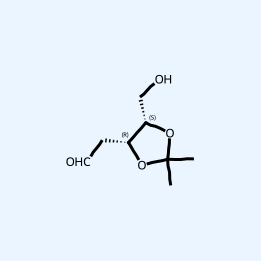 CC1(C)O[C@@H](CO)[C@@H](CC=O)O1